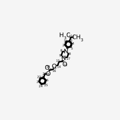 CC(C)c1ccc(N2CCN(C(=O)CCOCC(=O)OCc3ccccc3)CC2)cc1